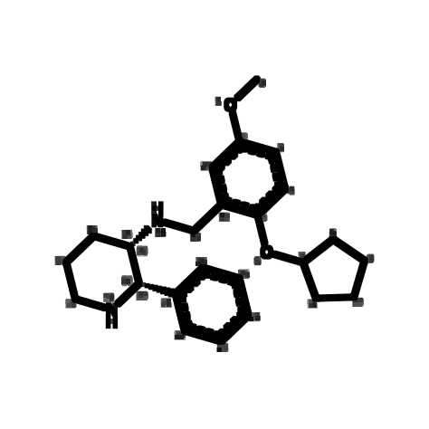 COc1ccc(OC2CCCC2)c(CN[C@H]2CCCN[C@H]2c2ccccc2)c1